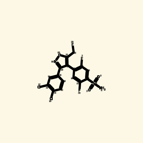 NS(=O)(=O)c1cc(F)c(-c2c(-c3ccc(Cl)c(Cl)c3)noc2CF)cc1F